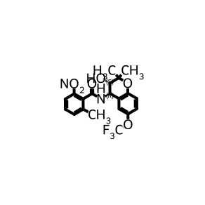 Cc1cccc([N+](=O)[O-])c1C(=O)N[C@@H]1c2cc(OC(F)(F)F)ccc2OC(C)(C)[C@H]1O